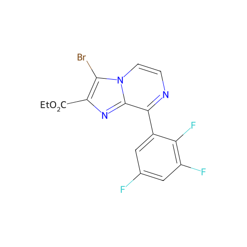 CCOC(=O)c1nc2c(-c3cc(F)cc(F)c3F)nccn2c1Br